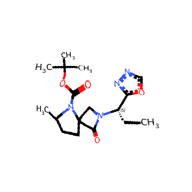 CC[C@@H](c1nnco1)N1CC2(CCC(C)N2C(=O)OC(C)(C)C)C1=O